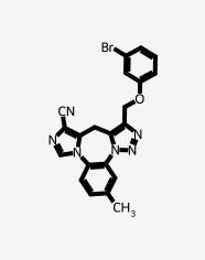 Cc1ccc2c(c1)-n1nnc(COc3cccc(Br)c3)c1Cc1c(C#N)ncn1-2